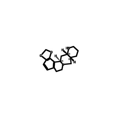 c1cc2c(c3c1CCN1C[C@H]4CCCN[C@H]4C[C@H]31)OCO2